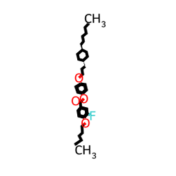 CCCCCCC[C@H]1CC[C@H](CCCOc2ccc(OC(=O)c3ccc(OCCCCCC)c(F)c3)cc2)CC1